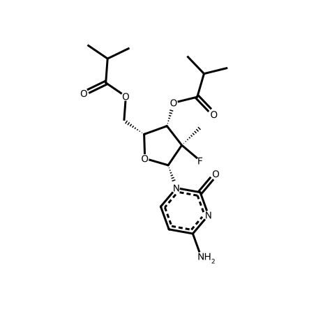 CC(C)C(=O)OC[C@H]1O[C@@H](n2ccc(N)nc2=O)[C@](C)(F)[C@H]1OC(=O)C(C)C